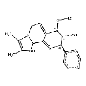 CCO[C@@H]1C2=CCN3C(C)=C(C)NC3C2=N[C@H](c2ccccc2)[C@H]1O